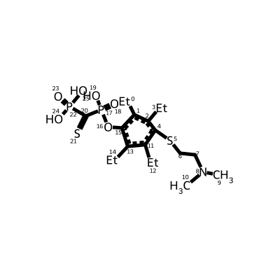 CCc1c(CC)c(SCCN(C)C)c(CC)c(CC)c1OP(=O)(O)C(=S)P(=O)(O)O